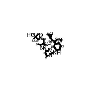 Cc1nn(-c2ccnc(Nc3ccc4c(c3)c(C(=O)C3CC3)cn4C)n2)cc1CN1CC(C)(O)CO1